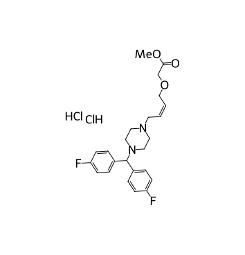 COC(=O)COC/C=C\CN1CCN(C(c2ccc(F)cc2)c2ccc(F)cc2)CC1.Cl.Cl